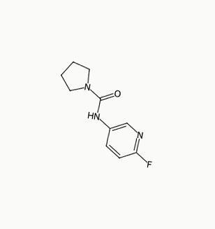 O=C(Nc1ccc(F)nc1)N1CCCC1